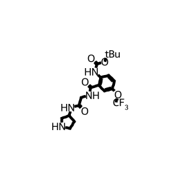 CC(C)(C)OC(=O)Nc1ccc(OC(F)(F)F)cc1C(=O)NCC(=O)NC1CCNC1